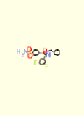 NS(=O)(=O)c1ccc(-c2oc(Cc3ccccc3)nc2-c2cc(F)cc(F)c2)cc1